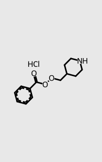 Cl.O=C(OOCC1CCNCC1)c1ccccc1